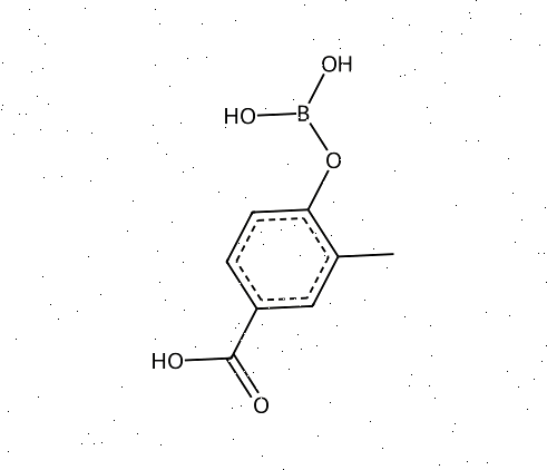 Cc1cc(C(=O)O)ccc1OB(O)O